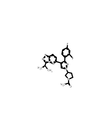 CC(=O)N1CCC(n2cc(-c3ccc4nnc(C(C)C)n4n3)c(-c3ccc(F)cc3F)n2)C1